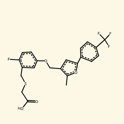 Cc1oc(-c2ccc(C(F)(F)F)cc2)cc1COc1ccc(F)c(CSCC(=O)O)c1